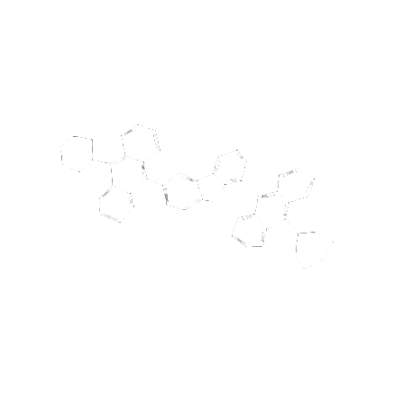 c1ccc2c(C3CCCCC3)c3ccccc3c(-c3ccc4oc5c(-c6c7ccccc7c(C7CCCCC7)c7ccccc67)cccc5c4c3)c2c1